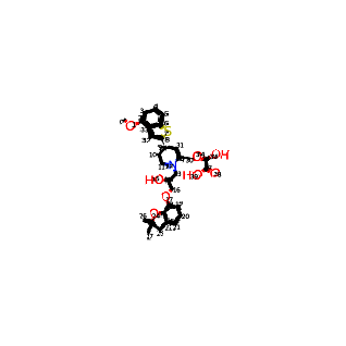 COc1cccc2sc([C@H]3CCN(C[C@H](O)COc4cccc5c4OC(C)(C)C5)[C@H](C)C3)cc12.O=C(O)C(=O)O